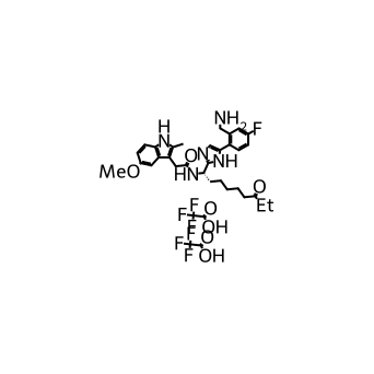 CCC(=O)CCCCC[C@H](NC(=O)Cc1c(C)[nH]c2ccc(OC)cc12)c1ncc(-c2ccc(F)cc2CN)[nH]1.O=C(O)C(F)(F)F.O=C(O)C(F)(F)F